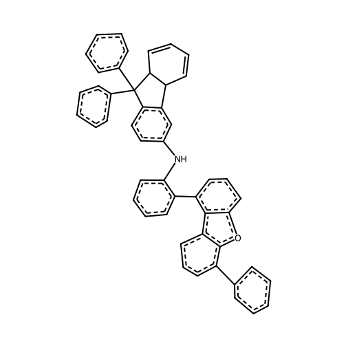 C1=CC2c3cc(Nc4ccccc4-c4cccc5oc6c(-c7ccccc7)cccc6c45)ccc3C(c3ccccc3)(c3ccccc3)C2C=C1